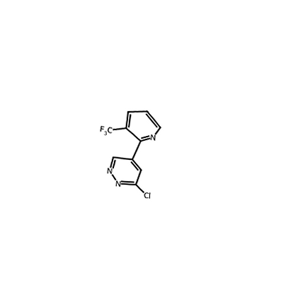 FC(F)(F)c1cccnc1-c1cnnc(Cl)c1